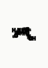 COCC(C)(C)C(N)Cc1ccc(OC)c(OCCCO)c1